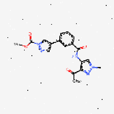 COC(=O)c1nn(C)cc1NC(=O)c1cccc(-c2cnn(C(=O)OC(C)(C)C)c2)c1